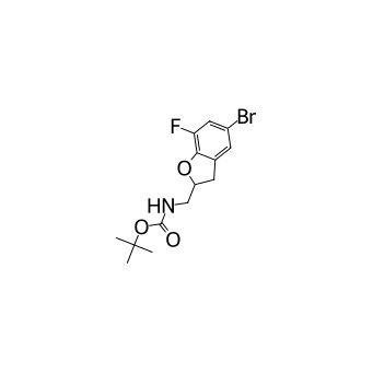 CC(C)(C)OC(=O)NCC1Cc2cc(Br)cc(F)c2O1